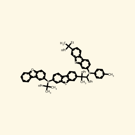 CCCC(N(c1ccc(C)cc1)c1ccc2c(c1)sc1cc(C(C)(CC)CCC)ccc12)C(C)(CCC)c1ccc2c(c1)sc1cc(N(c3ccc4oc5ccccc5c4c3)C(C)(C)CCC)ccc12